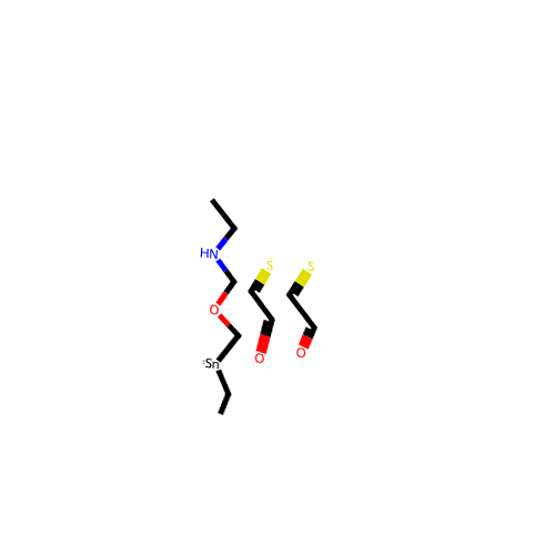 CCNCO[CH2][Sn][CH2]C.O=CC=S.O=CC=S